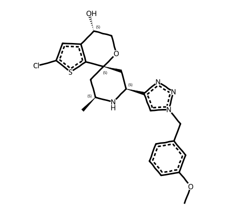 COc1cccc(Cn2cc([C@@H]3C[C@]4(C[C@H](C)N3)OC[C@@H](O)c3cc(Cl)sc34)nn2)c1